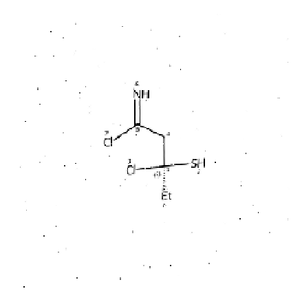 CC[C@](S)(Cl)CC(=N)Cl